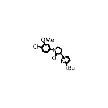 COc1cc(N2CCC(n3ccc(C(C)(C)C)n3)C2=O)ccc1Cl